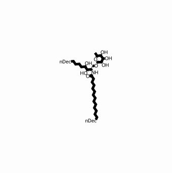 CCCCCCCCCCCCCCCCCCCCCCCC(=O)N[C@@H](CO[C@@H]1OC(C)[C@@H](O)C(O)C1O)[C@H](O)[C@H](O)CCCCCCCCCCCCCC